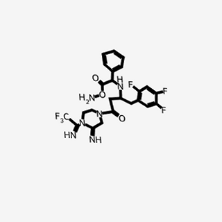 N=C1CN(C(=O)CC(Cc2cc(F)c(F)cc2F)NC(C(=O)ON)c2ccccc2)CCN1C(=N)C(F)(F)F